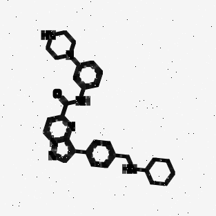 O=C(Nc1cccc(N2CCNCC2)c1)c1ccn2ncc(-c3ccc(CNC4CCCCC4)cc3)c2n1